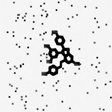 Oc1ccc(CCc2cc(O)cc3oc(-c4ccc(O)cc4)c(-c4cc(O)cc(O)c4)c23)cc1